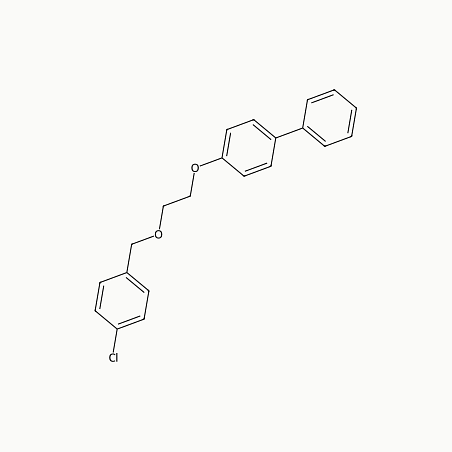 Clc1ccc(COCCOc2ccc(-c3ccccc3)cc2)cc1